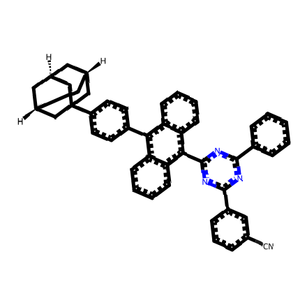 N#Cc1cccc(-c2nc(-c3ccccc3)nc(-c3c4ccccc4c(-c4ccc(C56C[C@H]7C[C@@H](C5)C[C@@H](C6)C7)cc4)c4ccccc34)n2)c1